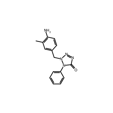 Cc1cc(Cn2nnc(=O)n2-c2ccccc2)ccc1N